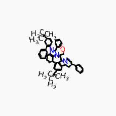 CC(C)(C)c1cc2c3c(c1)C1CCCC4=C1N1C(COc5ccccc5C1N4C1=C(c4ccccc4)CC(C(C)(C)C)C=C1)C3[N+]1=C2CC(c2ccccc2)C=C1